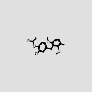 COc1ccc(C)c(OC)c1Cc1ccc(OC(F)F)c(Cl)c1